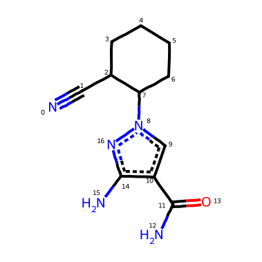 N#CC1CCCCC1n1cc(C(N)=O)c(N)n1